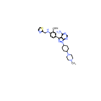 COc1cc(-c2nn(C3CCC(N4CCN(C)CC4)CC3)c3ncnc(N)c23)ccc1NCc1nccs1